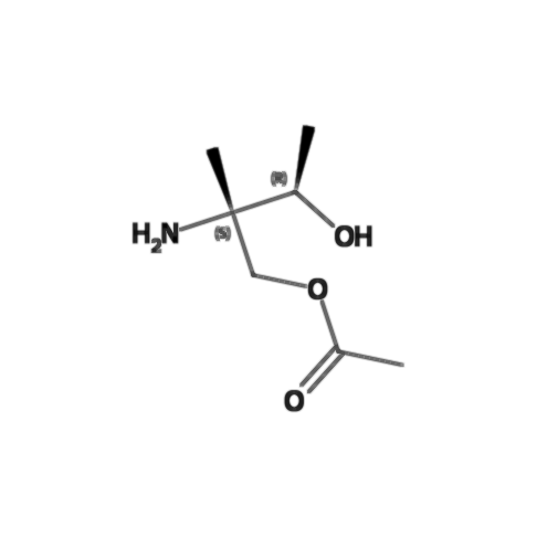 CC(=O)OC[C@](C)(N)[C@@H](C)O